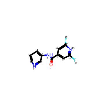 O=C(Nc1cccnc1)c1cc(F)nc(F)c1